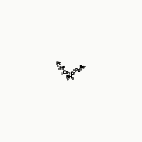 B.[Co].[Cr].[Hf].[Pd].[Pt].[Re]